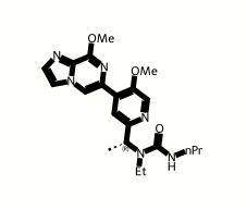 CCCNC(=O)N(CC)[C@H](C)c1cc(-c2cn3ccnc3c(OC)n2)c(OC)cn1